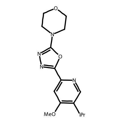 COc1cc(-c2nnc(N3CCOCC3)o2)ncc1C(C)C